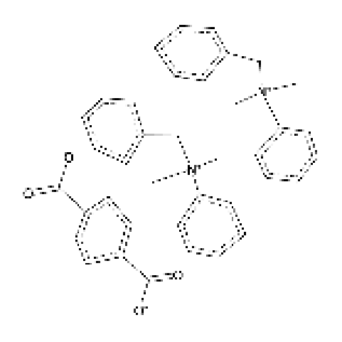 C[N+](C)(Cc1ccccc1)c1ccccc1.C[N+](C)(Cc1ccccc1)c1ccccc1.O=C([O-])c1ccc(C(=O)[O-])cc1